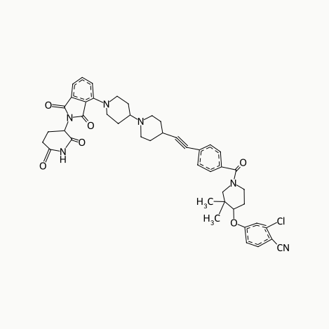 CC1(C)CN(C(=O)c2ccc(C#CC3CCN(C4CCN(c5cccc6c5C(=O)N(C5CCC(=O)NC5=O)C6=O)CC4)CC3)cc2)CCC1Oc1ccc(C#N)c(Cl)c1